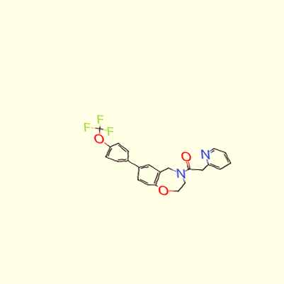 O=C(Cc1ccccn1)N1CCOc2ccc(-c3ccc(OC(F)(F)F)cc3)cc2C1